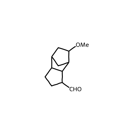 COC1CC2CC1C1C(C=O)CCC21